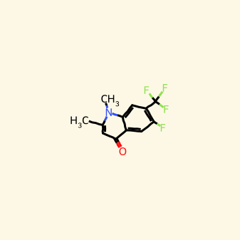 Cc1cc(=O)c2cc(F)c(C(F)(F)F)cc2n1C